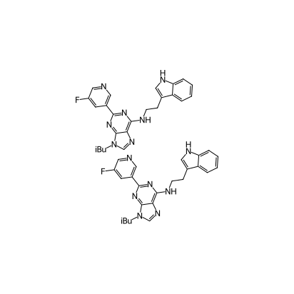 CCC(C)n1cnc2c(NCCc3c[nH]c4ccccc34)nc(-c3cncc(F)c3)nc21.CCC(C)n1cnc2c(NCCc3c[nH]c4ccccc34)nc(-c3cncc(F)c3)nc21